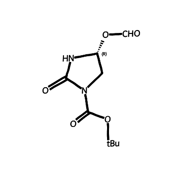 CC(C)(C)OC(=O)N1C[C@@H](OC=O)NC1=O